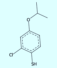 CC(C)Oc1ccc(S)c(Cl)c1